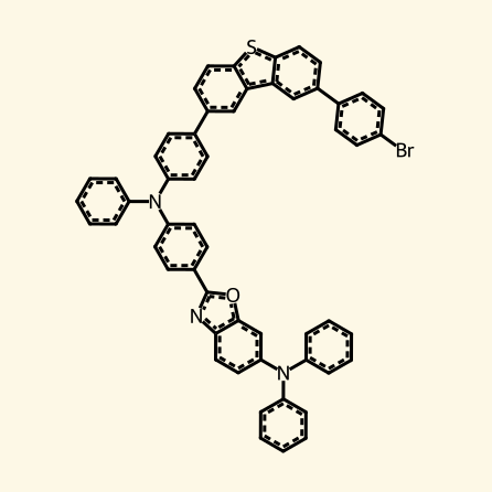 Brc1ccc(-c2ccc3sc4ccc(-c5ccc(N(c6ccccc6)c6ccc(-c7nc8ccc(N(c9ccccc9)c9ccccc9)cc8o7)cc6)cc5)cc4c3c2)cc1